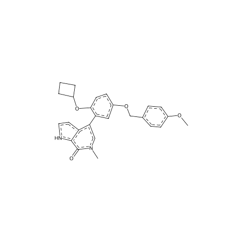 COc1ccc(COc2ccc(OC3CCC3)c(-c3cn(C)c(=O)c4[nH]ccc34)c2)cc1